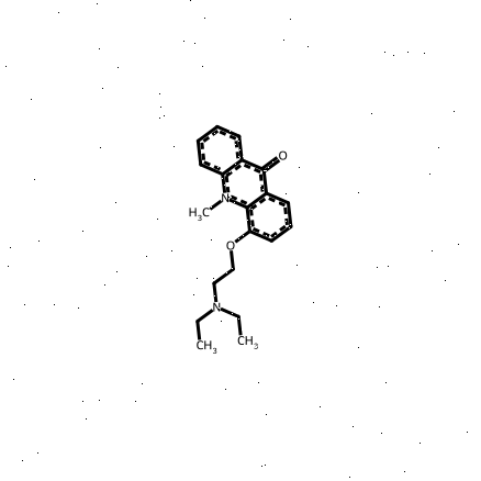 CCN(CC)CCOc1cccc2c(=O)c3ccccc3n(C)c12